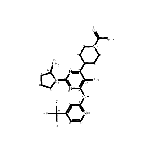 CC(=O)N1CCC(c2nc(N3CCCC3C)nc(Nc3cc(C(F)(F)F)ccn3)c2F)CC1